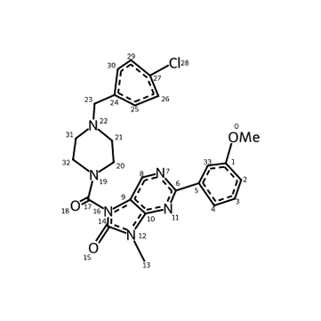 COc1cccc(-c2ncc3c(n2)n(C)c(=O)n3C(=O)N2CCN(Cc3ccc(Cl)cc3)CC2)c1